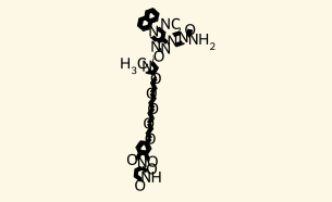 CN1C[C@H](OCCOCCOCCOCCOc2ccc3c(c2)C(=O)N(C2CCC(=O)NC2=O)C3=O)C[C@H]1COc1nc2c(c(N3CCN(C(N)=O)[C@@H](CC#N)C3)n1)CCN(c1cccc3ccccc13)C2